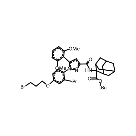 COc1cccc(OC)c1-c1cc(C(=O)NC2(C(=O)OC(C)(C)C)C3CC4CC(C3)CC2C4)nn1-c1ccc(OCCCBr)cc1C(C)C